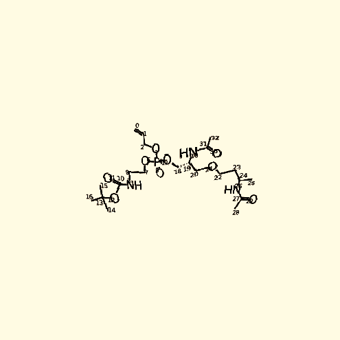 C=CCOP(=O)(OCCNC(=O)OC(C)(C)C)OC[C@@H](COCC[C@@H](C)NC(C)=O)NC(C)=O